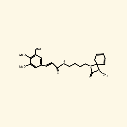 COc1cc(/C=C/C(=O)NCCCCN2C(=S)N(C)C23C=NC=CC3)cc(OC)c1OC